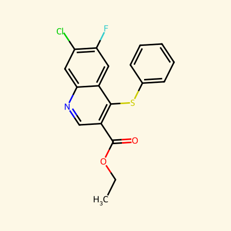 CCOC(=O)c1cnc2cc(Cl)c(F)cc2c1Sc1ccccc1